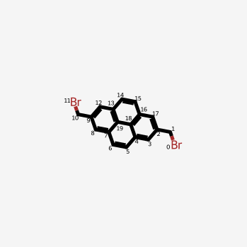 BrCc1cc2ccc3cc(CBr)cc4ccc(c1)c2c34